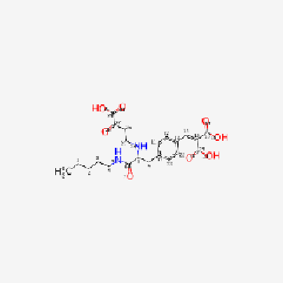 CCCCCNC(=O)C(Cc1ccc(C=C(C(=O)O)C(=O)O)cc1)NCCC(=O)C(=O)O